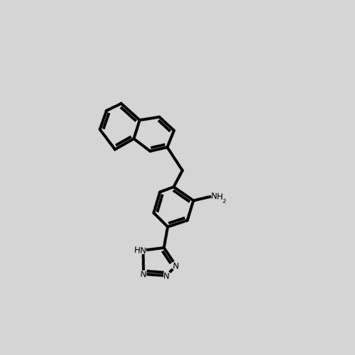 Nc1cc(-c2nnn[nH]2)ccc1Cc1ccc2ccccc2c1